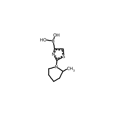 CC1CCCCN1c1nc(B(O)O)cs1